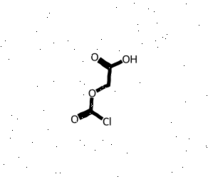 O=C(O)COC(=O)Cl